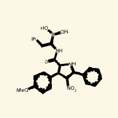 COc1ccc(C2C(C(=O)NC(CC(C)C)B(O)O)NC(c3ccccc3)C2[N+](=O)[O-])cc1